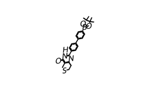 CC1(C)OB(c2ccc(-c3ccc(-c4nc5c(c(=O)[nH]4)CSCC5)cc3)cc2)OC1(C)C